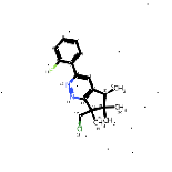 C[C@@H]1c2cc(-c3ccccc3F)nnc2C(C)(CCl)C1(C)C